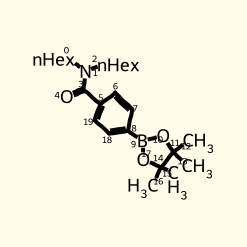 CCCCCCN(CCCCCC)C(=O)c1ccc(B2OC(C)(C)C(C)(C)O2)cc1